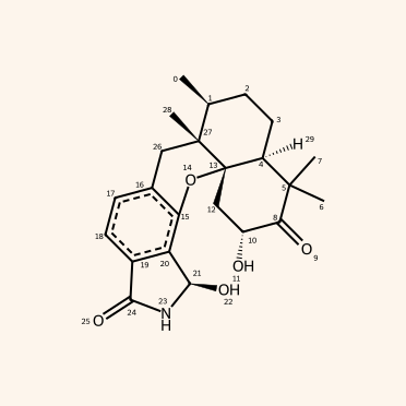 C[C@H]1CC[C@H]2C(C)(C)C(=O)[C@H](O)C[C@]23Oc2c(ccc4c2[C@@H](O)NC4=O)C[C@]13C